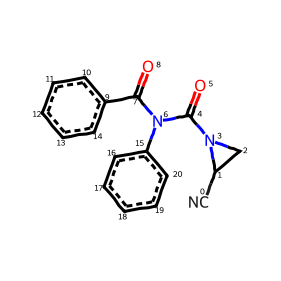 N#CC1CN1C(=O)N(C(=O)c1ccccc1)c1ccccc1